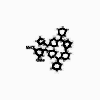 COc1cc(CN2CCN(C(c3ccccc3)C3CCCC(c4cccc(C(C5CCCCC5)N5CCN(Cc6cccs6)CC5)c4)C3)CC2)cc(OC)c1